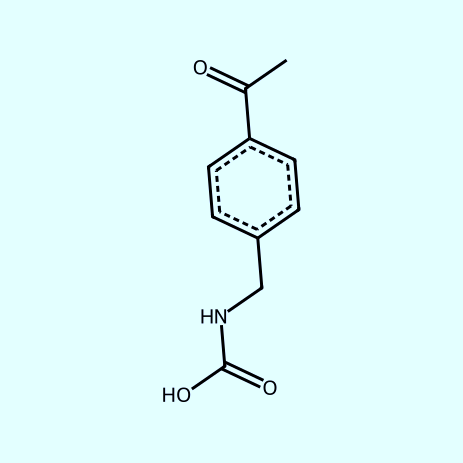 CC(=O)c1ccc(CNC(=O)O)cc1